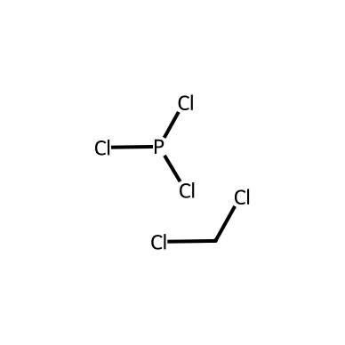 ClCCl.ClP(Cl)Cl